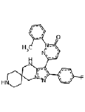 Cc1ccccc1-n1nc(-c2c(-c3ccc(F)cc3)nn3c2NCC2(CCNCC2)C3)ccc1=O